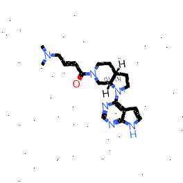 CN(C)CC=CC(=O)N1CC[C@@H]2CCN(c3ncnc4[nH]ccc34)[C@@H]2C1